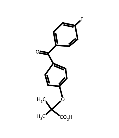 CC(C)(Oc1ccc(C(=O)c2ccc(F)cc2)cc1)C(=O)O